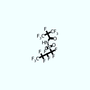 O=C(NS(=O)(=O)C(F)(F)C(F)(F)C(F)(F)C(F)(F)F)C(F)(C(F)(F)F)C(F)(F)F